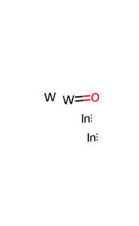 [In].[In].[O]=[W].[W]